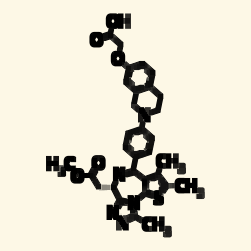 COC(=O)C[C@@H]1N=C(c2ccc(N3CCc4ccc(OCC(=O)O)cc4C3)cc2)c2c(sc(C)c2C)-n2c(C)nnc21